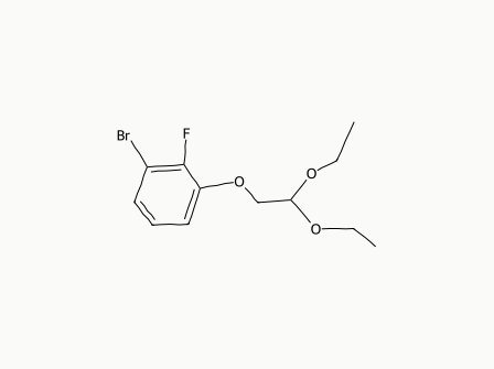 CCOC(COc1cccc(Br)c1F)OCC